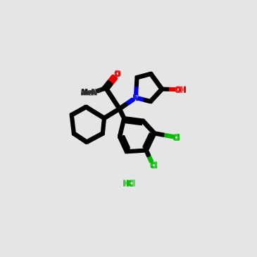 CNC(=O)C(c1ccc(Cl)c(Cl)c1)(C1CCCCC1)N1CCC(O)C1.Cl